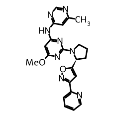 COc1cc(Nc2cc(C)ncn2)nc(N2CCC[C@H]2c2cc(-c3ccccn3)no2)n1